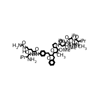 CC[C@H](C)[C@@H]([C@@H](CC(=O)N1CCCC1[C@H](OC)[C@@H](C)C(=O)C(Cc1ccccc1)C(=O)Cc1ccc(NC(=O)C(CCCNC(N)=O)NC(=O)C(N)C(C)C)cc1)OC)N(C)C(=O)C(NC(=O)C(C(C)C)N(C)C)C(C)C